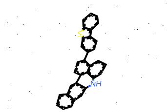 c1ccc2cc3c(cc2c1)Nc1cccc2c(-c4ccc5c(c4)sc4ccccc45)ccc-3c12